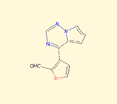 O=Cc1occc1-c1ncnn2cccc12